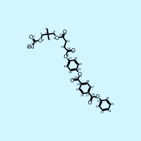 CCC(C)C(=O)OCC(C)(C)COC(=O)CCC(=O)Oc1ccc(OC(=O)c2ccc(C(=O)Oc3ccccc3)cc2)cc1